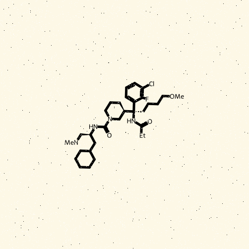 CCC(=O)N[C@](CCCCOC)(c1cccc(Cl)c1F)[C@@H]1CCCN(C(=O)N[C@H](CNC)CC2CCCCC2)C1